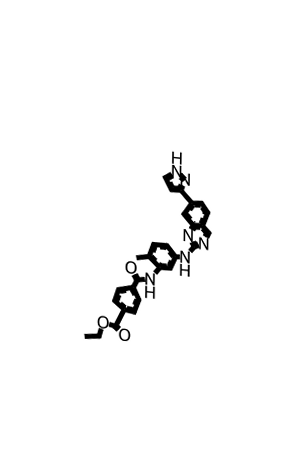 CCOC(=O)c1ccc(C(=O)Nc2cc(Nc3ncc4ccc(-c5cc[nH]n5)cc4n3)ccc2C)cc1